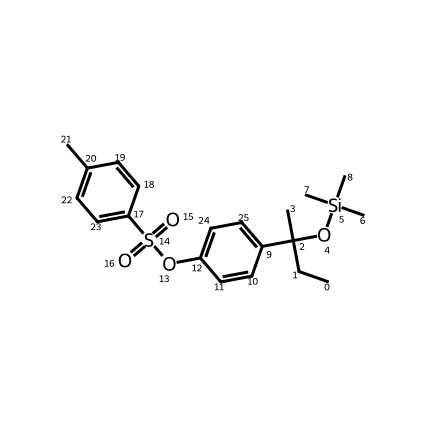 CCC(C)(O[Si](C)(C)C)c1ccc(OS(=O)(=O)c2ccc(C)cc2)cc1